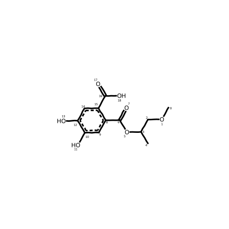 COCC(C)OC(=O)c1cc(O)c(O)cc1C(=O)O